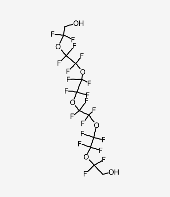 OCC(F)(F)OC(F)(F)C(F)(F)OC(F)(F)C(F)(F)OC(F)(F)C(F)(F)OC(F)(F)C(F)(F)OC(F)(F)CO